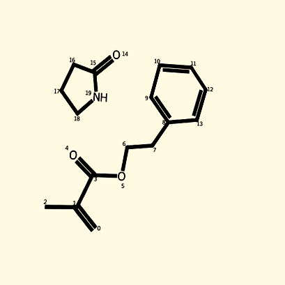 C=C(C)C(=O)OCCc1ccccc1.O=C1CCCN1